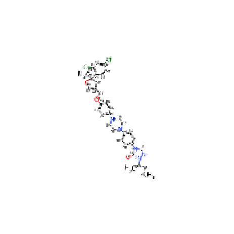 CCC(C)n1ncn(-c2ccc(N3CCN(c4ccc(OCC5COC(C)(c6ccc(Cl)cc6Cl)C5)cc4)CC3)cc2)c1=O